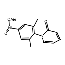 CO[N+](=O)c1cc(C)c(-n2ccccc2=O)c(C)c1